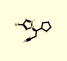 N#CC/C(C1CCCC1)=[N+]1\C=C(Br)C=N1